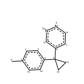 Cc1ccc(C2(c3ccnnc3)CC2)cc1